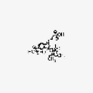 CC1(C)CN(CCCS(=O)(=O)O)c2ccc(S(=O)(=O)O)cc21.CCN(CC)CC